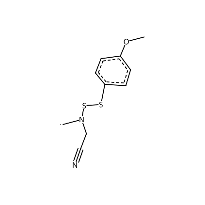 [CH2]N(CC#N)SSc1ccc(OC)cc1